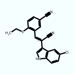 CCSc1ccc(C#N)cc1/C=C(\C#N)c1c[nH]c2ccc(Cl)cc12